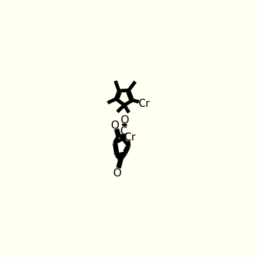 CC1=C(C)C(C)(C)[C]([Cr])=C1C.O=C=C1[C]2=c3c(=O)c3=C1[C](=O)[Cr]2